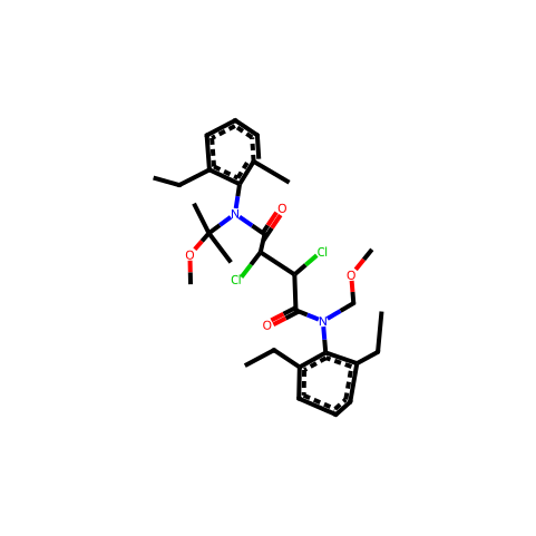 CCc1cccc(CC)c1N(COC)C(=O)C(Cl)C(Cl)C(=O)N(c1c(C)cccc1CC)C(C)(C)OC